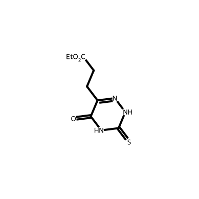 CCOC(=O)CCc1n[nH]c(=S)[nH]c1=O